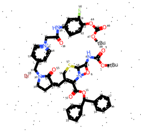 CC(C)(C)OC(=O)NC1ON2C(C(=O)OC(c3ccccc3)c3ccccc3)=C(C=C3CCN(Cc4cc[n+](CC(=O)Nc5ccc(OC(=O)OC(C)(C)C)c(F)c5)cc4)C3=O)CSC12.[Br-]